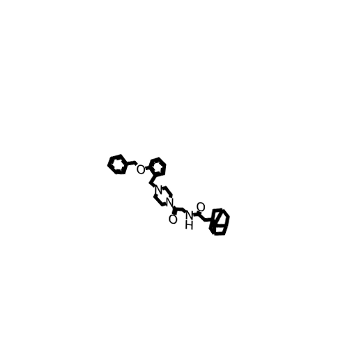 O=C(CC12CC3CC(CC(C3)C1)C2)NCC(=O)N1CCN(Cc2ccccc2OCc2ccccc2)CC1